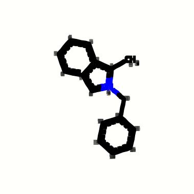 Cc1c2ccccc2cn1Cc1ccccc1